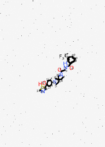 O=C(NCC(=O)N1CCC2(CCN([C@H]3CC[C@@](O)(c4cncs4)CC3)C2)C1)c1cccc(C(F)(F)F)c1